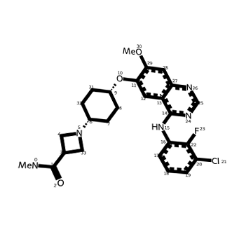 CNC(=O)C1CN([C@H]2CC[C@@H](Oc3cc4c(Nc5cccc(Cl)c5F)ncnc4cc3OC)CC2)C1